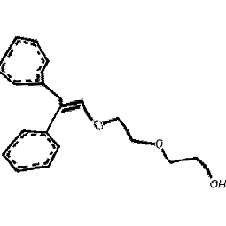 OCCOCCOC=C(c1ccccc1)c1ccccc1